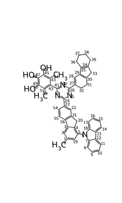 Cc1cc2c(c(-n3c4ccccc4c4ccccc43)c1)Cc1cc(-c3nc(C4=CC5=C(CC4)CC4=C5CCCC4)nc(-c4c(C)c(O)c(O)c(O)c4C)n3)ccc1-2